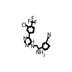 N#Cc1cccc([C@@H](N)CNc2cc(-c3ccc(C(F)(F)F)c(Cl)c3)ncn2)c1